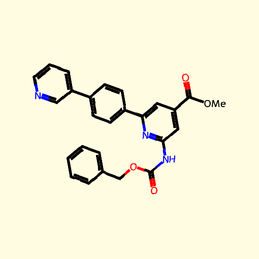 COC(=O)c1cc(NC(=O)OCc2ccccc2)nc(-c2ccc(-c3cccnc3)cc2)c1